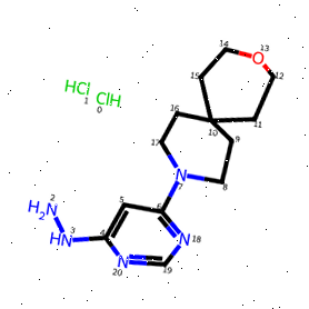 Cl.Cl.NNc1cc(N2CCC3(CCOCC3)CC2)ncn1